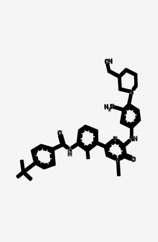 Cc1c(NC(=O)c2ccc(C(C)(C)C)cc2)cccc1-c1cn(C)c(=O)c(Nc2ccc(N3CCCC(CO)C3)c(N)c2)n1